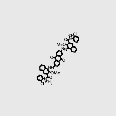 COc1c(C(=O)N(C)c2ccccc2Cl)cc2ccccc2c1N=Nc1ccc2c(c1)C(=O)c1ccc(N=Nc3c(OC)c(C(=O)N(C)c4ccccc4Cl)cc4ccccc34)cc1C2=O